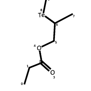 CCC(=O)OCC(C)[Te]C